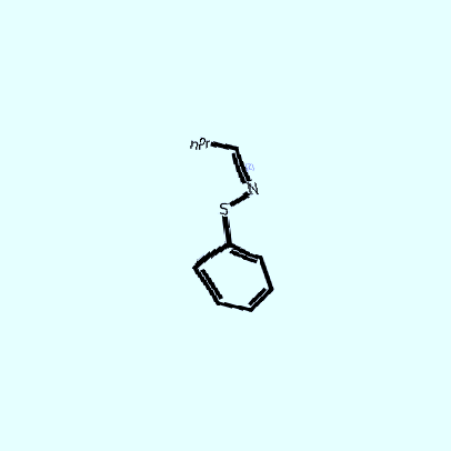 CCC/C=N\Sc1ccccc1